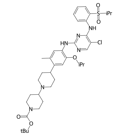 Cc1cc(Nc2ncc(Cl)c(Nc3ccccc3S(=O)(=O)C(C)C)n2)c(OC(C)C)cc1C1CCN(C2CCN(C(=O)OC(C)(C)C)CC2)CC1